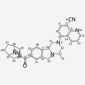 CC1CN(c2ccc(C#N)c3ncccc23)CC2c3ccc(C(=O)N4CC5CCC(C4)N5)cc3CN12